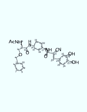 CC(=O)N[C@H](COCc1ccccc1)C(=O)Nc1ccc(NC(=O)/C(C#N)=C/c2ccc(O)c(O)c2)cc1